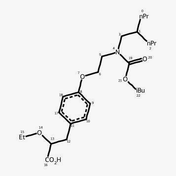 CCCC(CCC)CN(CCOc1ccc(CC(OCC)C(=O)O)cc1)C(=O)OC(C)CC